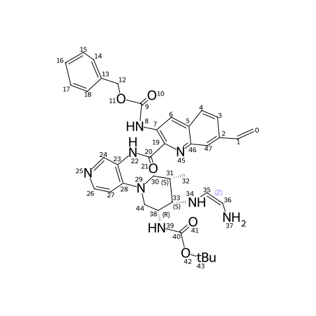 C=Cc1ccc2cc(NC(=O)OCc3ccccc3)c(C(=O)Nc3cnccc3N3C[C@H](C)[C@H](N/C=C\N)[C@H](NC(=O)OC(C)(C)C)C3)nc2c1